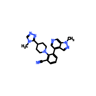 Cn1cnnc1C1CCN(c2c(C#N)cccc2-c2cncc3c2cnn3C)CC1